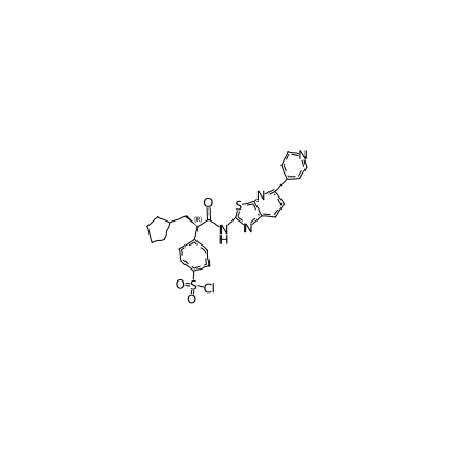 O=C(Nc1nc2ccc(-c3ccncc3)nc2s1)[C@H](CC1CCCC1)c1ccc(S(=O)(=O)Cl)cc1